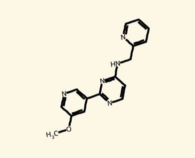 COc1cncc(-c2nccc(NCc3ccccn3)n2)c1